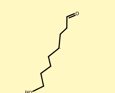 O=CCC[CH]CCCCO